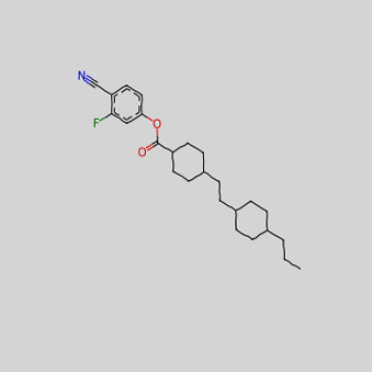 CCCC1CCC(CCC2CCC(C(=O)Oc3ccc(C#N)c(F)c3)CC2)CC1